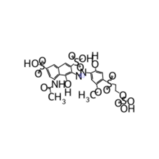 COc1cc(/N=N/c2c(S(=O)(=O)O)cc3cc(S(=O)(=O)O)cc(NC(C)=O)c3c2O)c(O)cc1S(=O)(=O)CCOS(=O)(=O)O